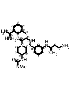 C=C(CCN)Nc1cccc(SN[C@@H](Cc2cccc(C(=N)N)c2)C(=C)N2CCC(NC(=O)NC)CC2)c1